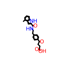 Cc1cccc2[nH]c(C(=O)NCCc3ccc(C(=O)CCC(=O)O)cc3)cc12